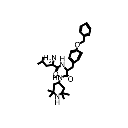 CC(C)CC(N)C(=O)NC(Cc1ccc(OCc2ccccc2)cc1)C(=O)NC1CC(C)(C)NC(C)(C)C1